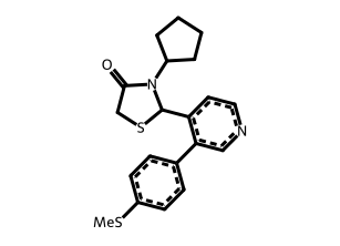 CSc1ccc(-c2cnccc2C2SCC(=O)N2C2CCCC2)cc1